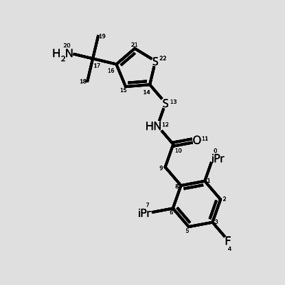 CC(C)c1cc(F)cc(C(C)C)c1CC(=O)NSc1cc(C(C)(C)N)cs1